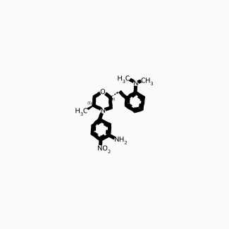 C[C@H]1CO[C@H](Cc2ccccc2N(C)C)CN1c1ccc([N+](=O)[O-])c(N)c1